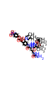 C#CCN(CC#C)C(=O)c1cc(NC(=O)[C@H](CCCNC(N)=O)NC(=O)[C@@H](NC(=O)OC(C)(C)C)C(C)C)ccc1COC(=O)Oc1ccc([N+](=O)[O-])cc1